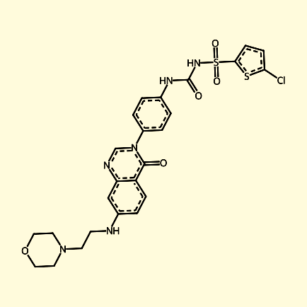 O=C(Nc1ccc(-n2cnc3cc(NCCN4CCOCC4)ccc3c2=O)cc1)NS(=O)(=O)c1ccc(Cl)s1